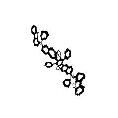 c1ccc(-c2c3oc4cc5cc(N(c6ccccc6)c6cccc7c6oc6ccccc67)ccc5cc4c3c(-c3ccccc3)c3oc4cc5cc(N(c6ccccc6)c6cccc7c6oc6ccccc67)ccc5cc4c23)cc1